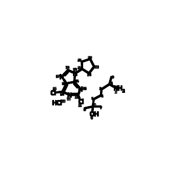 CC(N)CCCC(C)(C)O.Cl.Clc1nc(Cl)c2ncn(C3CCCC3)c2n1